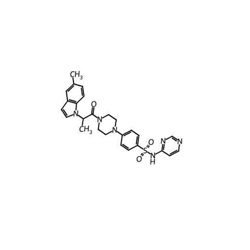 Cc1ccc2c(ccn2C(C)C(=O)N2CCN(c3ccc(S(=O)(=O)Nc4ccncn4)cc3)CC2)c1